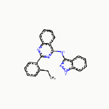 CCc1ccccc1-c1nc(Nc2n[nH]c3ccccc23)c2ccccc2n1